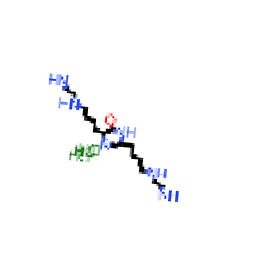 Cl.Cl.Cl.N=CCNCCCCC1C=NC(CCCCNCC=N)C(=O)N1